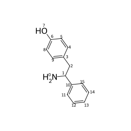 NC(Cc1ccc(O)cc1)c1ccccc1